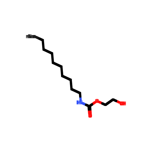 CCCCCCCCCCCCCCCCCCNC(=O)OCCO